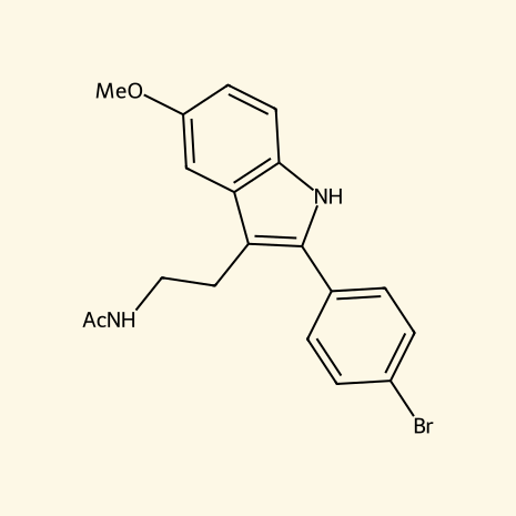 COc1ccc2[nH]c(-c3ccc(Br)cc3)c(CCNC(C)=O)c2c1